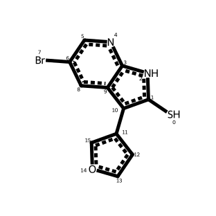 Sc1[nH]c2ncc(Br)cc2c1-c1ccoc1